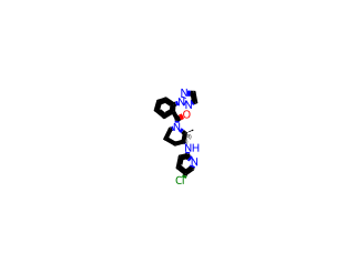 C[C@@H]1[C@@H](Nc2ccc(Cl)cn2)CCCN1C(=O)c1ccccc1-n1nccn1